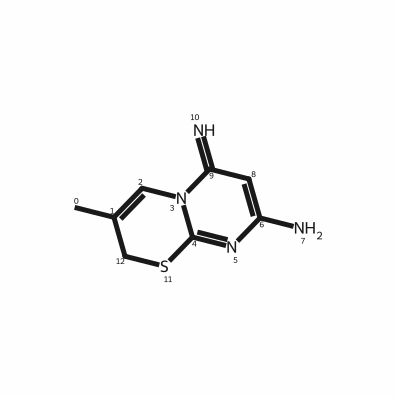 CC1=Cn2c(nc(N)cc2=N)SC1